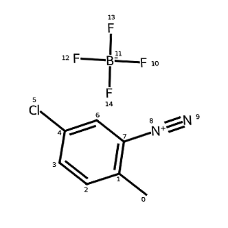 Cc1ccc(Cl)cc1[N+]#N.F[B-](F)(F)F